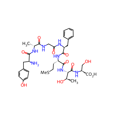 CSCC[C@H](NC(=O)[C@H](Cc1ccccc1)NC(=O)CNC(=O)[C@@H](C)NC(=O)[C@@H](N)Cc1ccc(O)cc1)C(=O)N[C@H](C(=O)N[C@@H](CO)C(=O)O)[C@@H](C)O